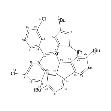 CC(C)C1C=C(C(C)(C)C)C=[C]1[Zr](=[C](c1cccc(Cl)c1)c1cccc(Cl)c1)[CH]1c2cc(C(C)(C)C)ccc2-c2ccc(C(C)(C)C)cc21